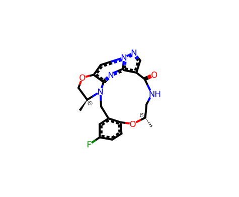 C[C@H]1CNC(=O)c2cnn3cc4c(nc23)N(Cc2cc(F)ccc2O1)[C@@H](C)CO4